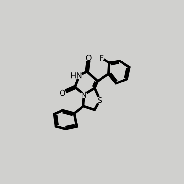 O=c1[nH]c(=O)n2c(c1-c1ccccc1F)SCC2c1ccccc1